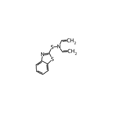 C=CN(C=C)Sc1nc2ccccc2s1